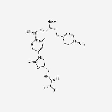 CCN(CCN(CCN1CCN(C)CC1)NC)c1ccc(N2C[C@H](CNC(=O)C(F)F)OC2=O)cc1F